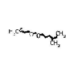 CCC(C)CCCOCOCCSC